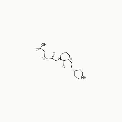 C[C@H](CC(=O)O)CC(=O)CN1CCC[C@@H](CCC2CCNCC2)C1=O